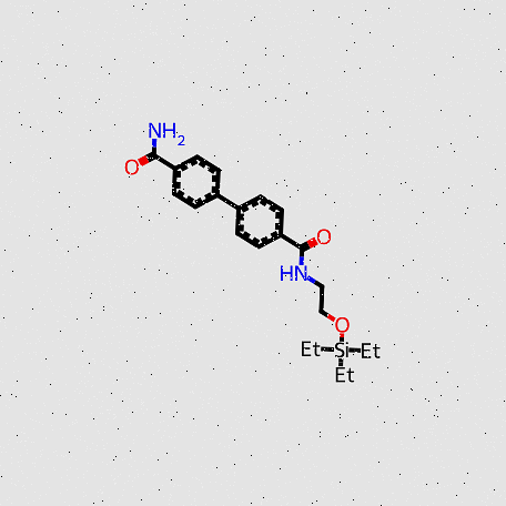 CC[Si](CC)(CC)OCCNC(=O)c1ccc(-c2ccc(C(N)=O)cc2)cc1